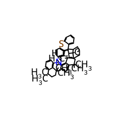 CC1(C)CCC(C)(C)c2c(N(c3ccc4c(c3)C3(c5ccccc5S4)C4CC5CC6CC3C64C5)c3cccc4c3C(C)(C)CCC4(C)C)cccc21